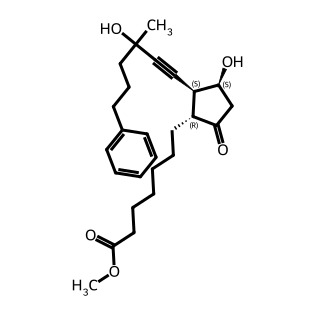 COC(=O)CCCCCC[C@H]1C(=O)C[C@H](O)[C@@H]1C#CC(C)(O)CCCc1ccccc1